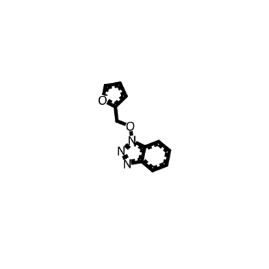 c1coc(COn2nnc3ccccc32)c1